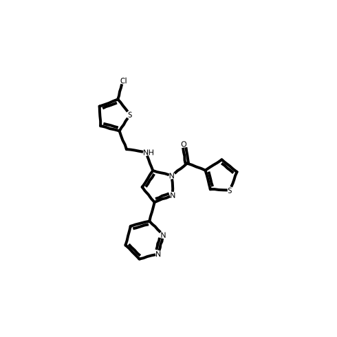 O=C(c1ccsc1)n1nc(-c2cccnn2)cc1NCc1ccc(Cl)s1